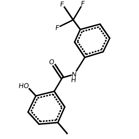 Cc1ccc(O)c(C(=O)Nc2cccc(C(F)(F)F)c2)c1